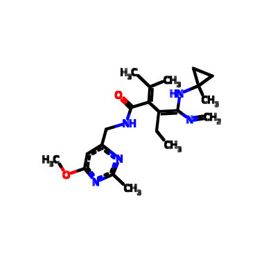 C=N/C(NC1(C)CC1)=C(\CC)C(C(=O)NCc1cc(OC)nc(C)n1)=C(C)C